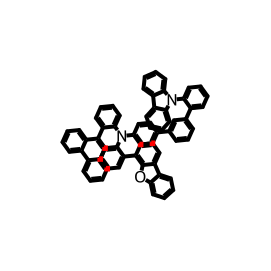 c1cc(-c2ccc(N(c3ccccc3-c3cc4ccccc4c4ccccc34)c3ccccc3-c3cccc4c3oc3ccccc34)cc2)cc(-c2ccccc2-n2c3ccccc3c3ccccc32)c1